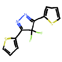 FC1(F)C(c2cccs2)=NN=C1c1cccs1